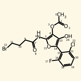 CC(=O)Oc1c(NC(=O)CCCBr)oc(-c2c(F)cccc2Cl)c1O